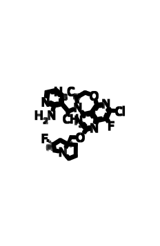 CC(c1cccnc1N)N1c2nc(OC[C@@]34CCCN3C[C@H](F)C4)nc3c(F)c(Cl)nc(c23)OC[C@@H]1C